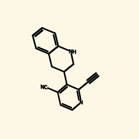 C#Cc1nccc(C#N)c1C1CNc2ccccc2C1